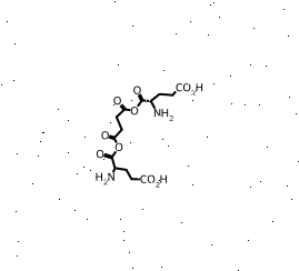 NC(CCC(=O)O)C(=O)OC(=O)CCC(=O)OC(=O)C(N)CCC(=O)O